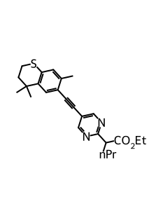 CCCC(C(=O)OCC)c1ncc(C#Cc2cc3c(cc2C)SCCC3(C)C)cn1